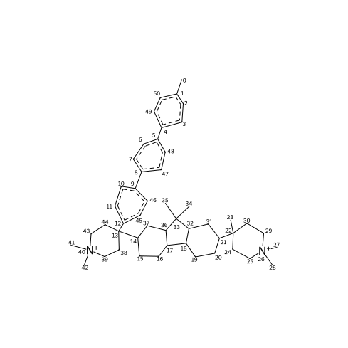 Cc1ccc(-c2ccc(-c3ccc(C4(C5CCC6C7CCC(C8(C)CC[N+](C)(C)CC8)CC7C(C)(C)C6C5)CC[N+](C)(C)CC4)cc3)cc2)cc1